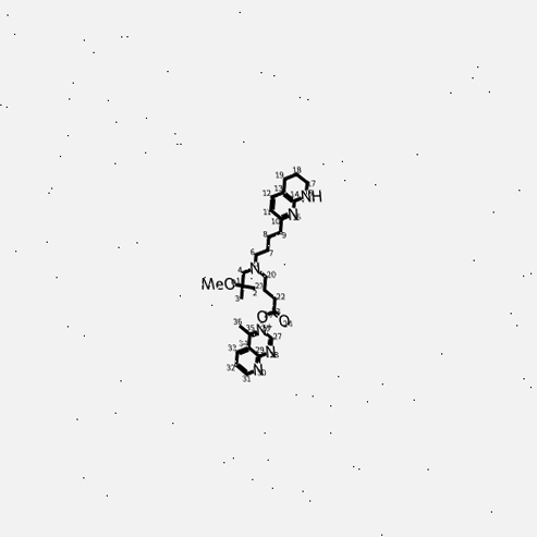 COC(C)(C)CN(CCCCc1ccc2c(n1)NCCC2)CCCC(=O)O[n+]1cnc2ncccc2c1C